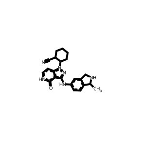 CC1NCc2cc(Nc3nn(C4CCCCC4C#N)c4cc[nH]c(=O)c34)ccc21